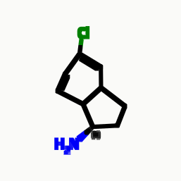 N[C@@H]1CCC2C=C(Cl)C=CC21